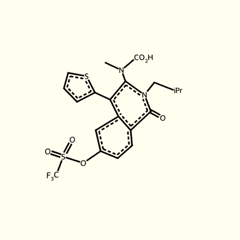 CC(C)Cn1c(N(C)C(=O)O)c(-c2cccs2)c2cc(OS(=O)(=O)C(F)(F)F)ccc2c1=O